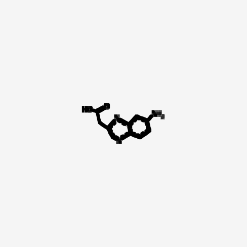 Nc1ccc2ncc(CC(=O)O)nc2c1